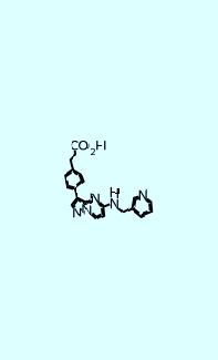 O=C(O)CCc1ccc(-c2cnn3ccc(NCc4cccnc4)nc23)cc1